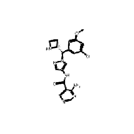 COc1cc(Cl)cc(C([C@H]2CCN2)n2cc(NC(=O)c3cncnc3N)cn2)c1